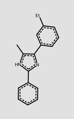 CCc1cccc(-c2nc(-c3ccccc3)[nH]c2C)c1